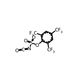 O=C=NS(=O)(=O)Oc1c(C(F)(F)F)cc(C(F)(F)F)cc1C(F)(F)F